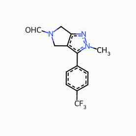 Cn1nc2c(c1-c1ccc(C(F)(F)F)cc1)CN(C=O)C2